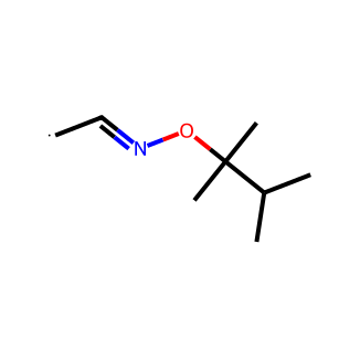 [CH2]C=NOC(C)(C)C(C)C